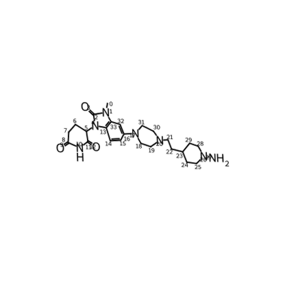 Cn1c(=O)n(C2CCC(=O)NC2=O)c2ccc(N3CCN(CCC4CCN(N)CC4)CC3)cc21